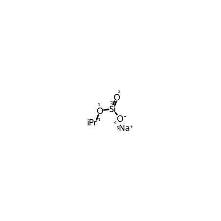 CC(C)O[Si](=O)[O-].[Na+]